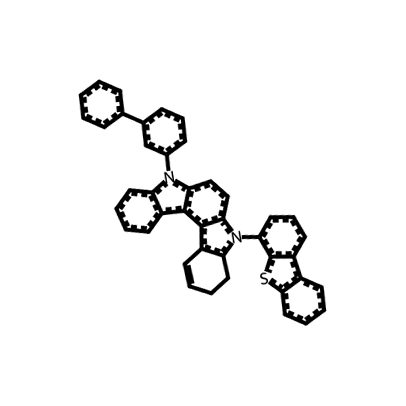 C1=Cc2c(n(-c3cccc4c3sc3ccccc34)c3ccc4c(c5ccccc5n4-c4cccc(-c5ccccc5)c4)c23)CC1